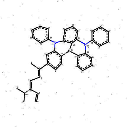 C=C/C(=C\C=C(/C)c1ccc2c(c1)N(c1ccccc1)c1cccc3c1B2c1ccccc1N3c1ccccc1)C(C)C